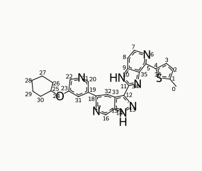 Cc1ccc(-c2nccc3[nH]c(-c4n[nH]c5cnc(-c6cncc(OC7CCCCC7)c6)cc45)nc23)s1